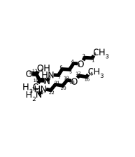 CCCOCCCCN/N=C(/C)C(=O)O.CCCOCCCCNN